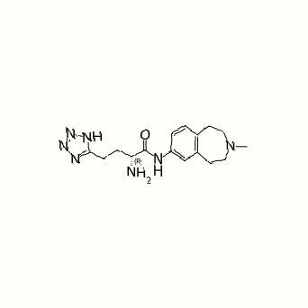 CN1CCc2ccc(NC(=O)[C@H](N)CCc3nnn[nH]3)cc2CC1